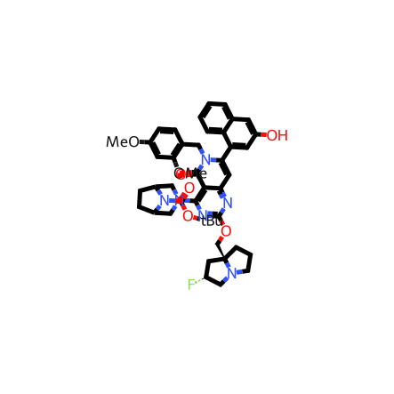 COc1ccc(Cn2c(-c3cc(O)cc4ccccc34)cc3nc(OC[C@@]45CCCN4C[C@H](F)C5)nc(N4CC5CCC(C4)N5C(=O)OC(C)(C)C)c3c2=O)c(OC)c1